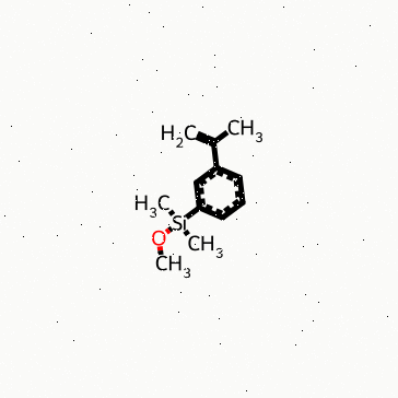 C=C(C)c1cccc([Si](C)(C)OC)c1